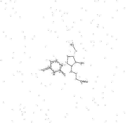 COCCOC1C(O)[C@@H](CO)C[C@H]1n1ccc(=O)[nH]c1=O